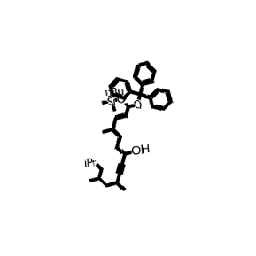 CCCC[Si](C)(C)OC(C=CC(C)CCC(O)C#CC(C)CC(C)CC(C)C)OC(c1ccccc1)(c1ccccc1)c1ccccc1